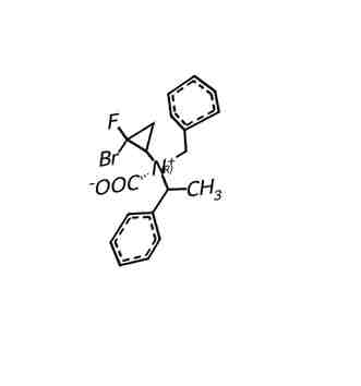 CC(c1ccccc1)[N@@+](Cc1ccccc1)(C(=O)[O-])C1CC1(F)Br